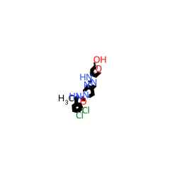 C[C@@H](NC(=O)N1CCc2cnc(N[C@@H]3CCO[C@H](CO)C3)nc2C1)c1ccc(Cl)c(Cl)c1